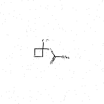 COC(=O)NC1([C]=O)CCC1